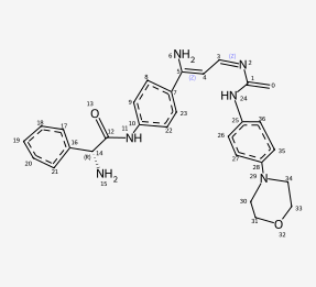 C=C(/N=C\C=C(/N)c1ccc(NC(=O)[C@H](N)c2ccccc2)cc1)Nc1ccc(N2CCOCC2)cc1